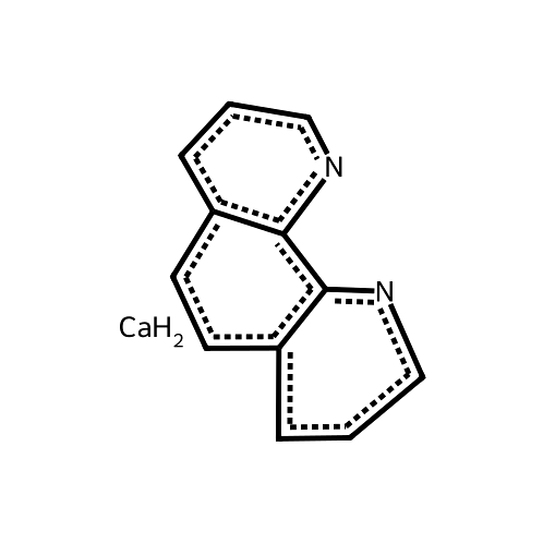 [CaH2].c1cnc2c(c1)ccc1cccnc12